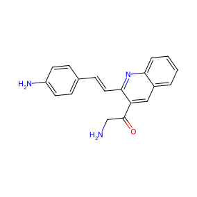 NCC(=O)c1cc2ccccc2nc1C=Cc1ccc(N)cc1